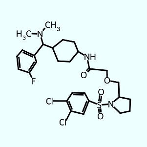 CN(C)C(c1cccc(F)c1)C1CCC(NC(=O)COCC2CCCN2S(=O)(=O)c2ccc(Cl)c(Cl)c2)CC1